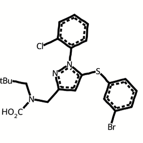 CC(C)(C)CN(Cc1cc(Sc2cccc(Br)c2)n(-c2ccccc2Cl)n1)C(=O)O